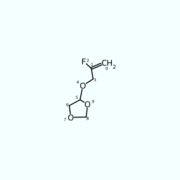 C=C(F)COC1COCO1